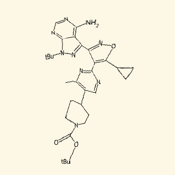 Cc1nc(-c2c(-c3nn(C(C)(C)C)c4ncnc(N)c34)noc2C2CC2)ncc1C1CCN(C(=O)OC(C)(C)C)CC1